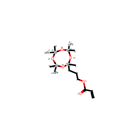 C=CC(=O)OCCC[Si]1(C)O[Si](C)(CCC)O[Si](C)(CCC)O[Si](C)(CCC)O1